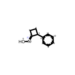 O/N=C1\CCC1c1ccccc1